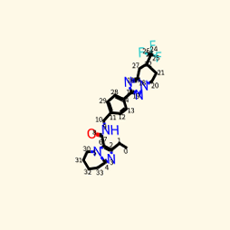 CCc1nc2n(c1C(=O)NCc1ccc(-c3nc4n(n3)CCC(C(F)(F)F)C4)cc1)CCCC2